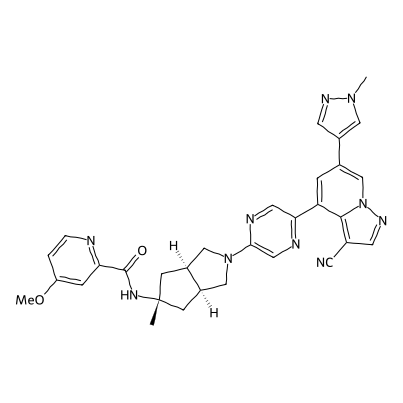 COc1ccnc(C(=O)N[C@]2(C)C[C@H]3CN(c4cnc(-c5cc(-c6cnn(C)c6)cn6ncc(C#N)c56)cn4)C[C@H]3C2)c1